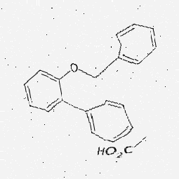 CC(=O)O.c1ccc(COc2ccccc2-c2ccccc2)cc1